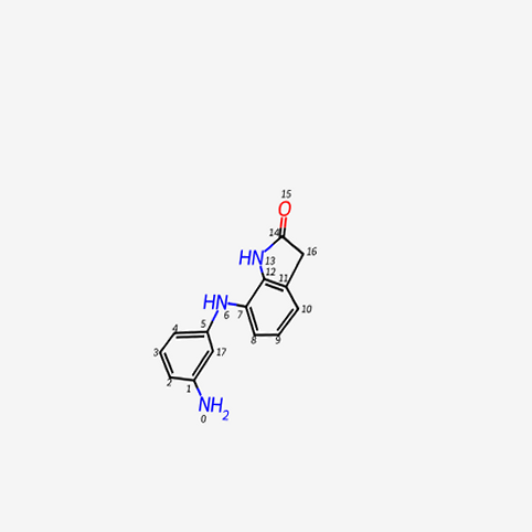 Nc1cccc(Nc2cccc3c2NC(=O)C3)c1